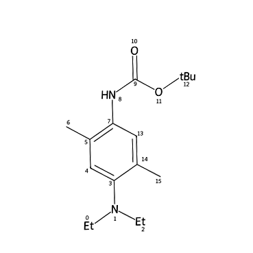 CCN(CC)c1cc(C)c(NC(=O)OC(C)(C)C)cc1C